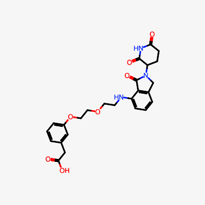 O=C(O)Cc1cccc(OCCOCCNc2cccc3c2C(=O)N(C2CCC(=O)NC2=O)C3)c1